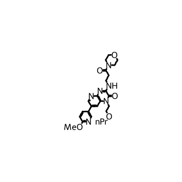 CCCOCCn1c(=O)c(NCCC(=O)N2CCOCC2)nc2ncc(-c3ccc(OC)nc3)cc21